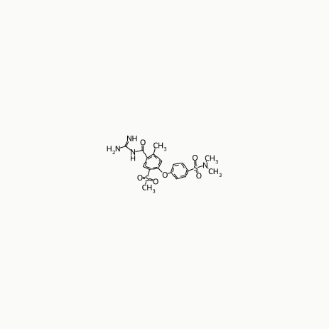 Cc1cc(Oc2ccc(S(=O)(=O)N(C)C)cc2)c(S(C)(=O)=O)cc1C(=O)NC(=N)N